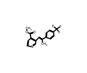 COC(=O)c1ccncc1/C=C(\C)c1ccc(C(F)(F)F)cc1